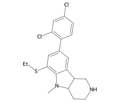 CCSc1cc(-c2ccc(Cl)cc2Cl)cc2c1N(C)C1CCNCC21